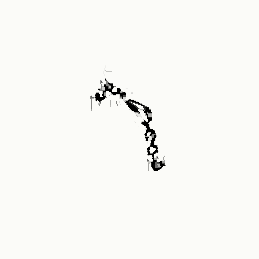 O=C(N[C@H]1CCN(CC(=O)N2CCN(c3ccc(-c4ncccn4)cc3)CC2)C1)c1cc2c(-n3ccnc3)n[nH]c2s1